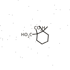 CC1(C)CCCCC1(C(=O)O)C(=O)O